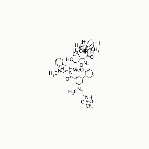 COC1=C(CN2O[C@@H](CO)[C@@H]([C@H](C)O)[C@H]2C(=O)N[C@H]2C[C@H]3C[C@@H]([C@@H]2C)C3(C)C)C=CCC1C1C=C(C(=O)N[C@@H](Cc2ccccc2)CN(C)C)C=C(N(C)CCNS(=O)(=O)C(F)(F)F)C1